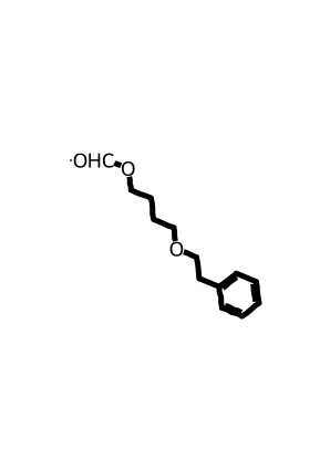 O=[C]OCCCCOCCc1ccccc1